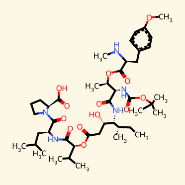 CC[C@H](C)[C@@H](NC(=O)[C@@H](NC(=O)OC(C)(C)C)[C@@H](C)OC(=O)[C@H](Cc1ccc(OC)cc1)NC)[C@@H](O)CC(=O)O[C@H](C(=O)N[C@@H](CC(C)C)C(=O)N1CCC[C@H]1C(=O)O)C(C)C